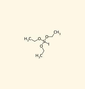 CCO[Si](I)(OCC)OCC